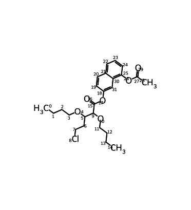 CCCCOC(CCCl)C(OCCCC)C(=O)Oc1ccc2cccc(OC(C)=O)c2c1